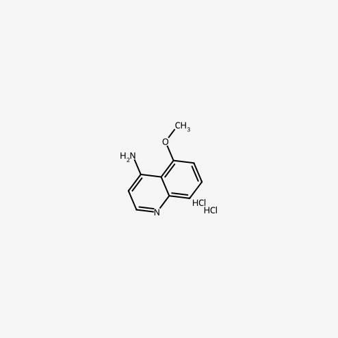 COc1cccc2nccc(N)c12.Cl.Cl